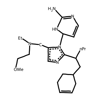 CCCC(CC1CC=CCC1)c1ncc(CN(CC)CCOC)n1C1C=CN=C(N)N1